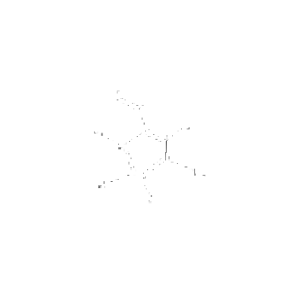 C=Cc1c(C)c(F)c(C)c(F)c1F